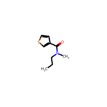 CCCN(C)C(=O)c1ccsc1